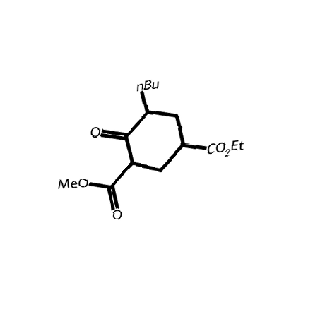 CCCCC1CC(C(=O)OCC)CC(C(=O)OC)C1=O